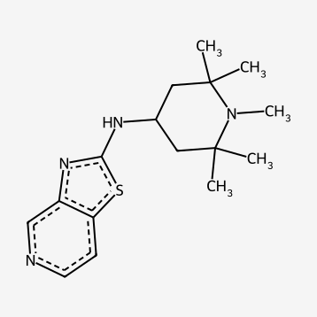 CN1C(C)(C)CC(Nc2nc3cnccc3s2)CC1(C)C